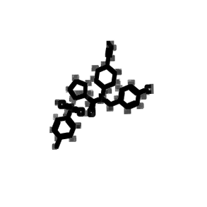 Cc1ccc(S(=O)(=O)[C@@H]2CCC[C@H]2C(=O)N(Cc2ccc(Cl)cc2)C2CCC(C#N)CC2)cc1